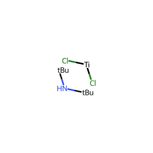 CC(C)(C)NC(C)(C)C.[Cl][Ti][Cl]